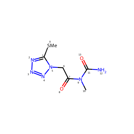 [CH2]Sc1nnnn1CC(=O)N(C)C(N)=O